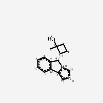 CC1(O)CCC1[C@H]1c2ccccc2-c2cncn21